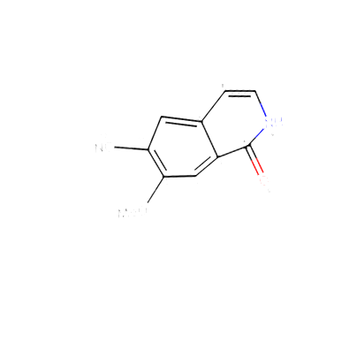 COc1cc2c(=O)[nH]ccc2cc1C#N